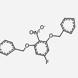 O=[N+]([O-])c1c(OCc2ccccc2)cc(F)cc1OCc1ccccc1